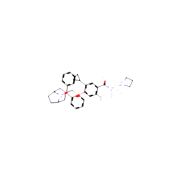 O=C(NS(=O)(=O)N1CCC1)c1cc(C2CC2)c(OCC2CC3CCC(C2)N3C(c2ccccc2)c2ccccc2)cc1F